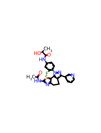 CC(=O)Nc1nc2c(s1)-c1c(c(-c3cccnc3)nn1-c1ccc(NC(=O)C(C)O)cc1F)CC2